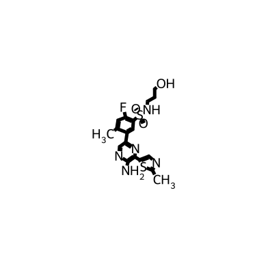 Cc1ncc(-c2nc(-c3cc(S(=O)(=O)NCCCO)c(F)cc3C)cnc2N)s1